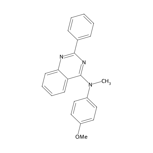 COc1ccc(N(C)c2nc(-c3ccccc3)nc3ccccc23)cc1